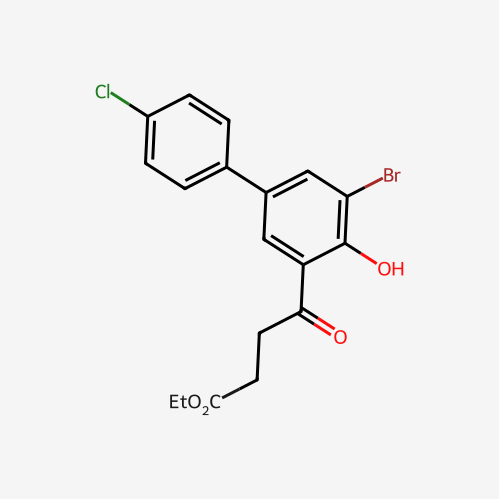 CCOC(=O)CCC(=O)c1cc(-c2ccc(Cl)cc2)cc(Br)c1O